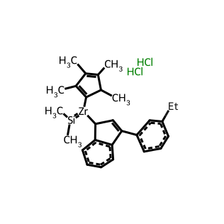 CCc1cccc(C2=C[CH]([Zr]([C]3=C(C)C(C)=C(C)C3C)=[Si](C)C)c3ccccc32)c1.Cl.Cl